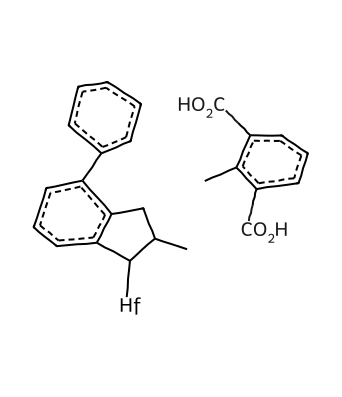 CC1Cc2c(-c3ccccc3)cccc2[CH]1[Hf].Cc1c(C(=O)O)cccc1C(=O)O